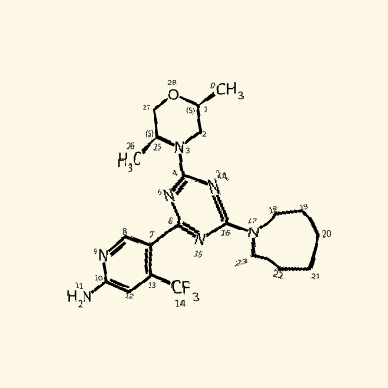 C[C@H]1CN(c2nc(-c3cnc(N)cc3C(F)(F)F)nc(N3CCCCCC3)n2)[C@@H](C)CO1